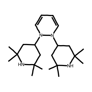 CC1(C)CC(N2C=CC=CN2C2CC(C)(C)NC(C)(C)C2)CC(C)(C)N1